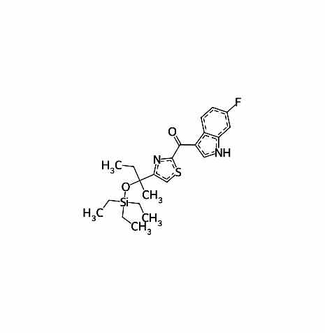 CCC(C)(O[Si](CC)(CC)CC)c1csc(C(=O)c2c[nH]c3cc(F)ccc23)n1